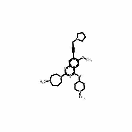 COc1cc2c(NC3CCN(C)CC3)nc(N3CCCN(C)CC3)nc2cc1C#CCN1CCCC1